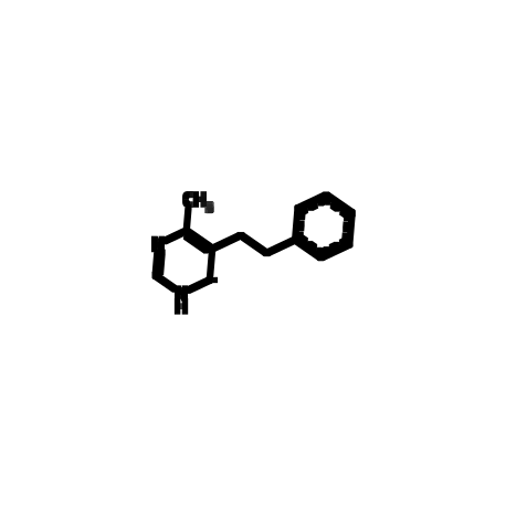 CC1=C(CCc2ccccc2)[CH]NC=N1